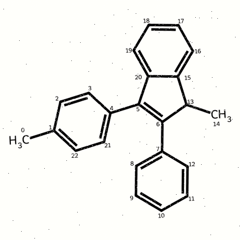 Cc1ccc(C2=C(c3ccccc3)C(C)c3ccccc32)cc1